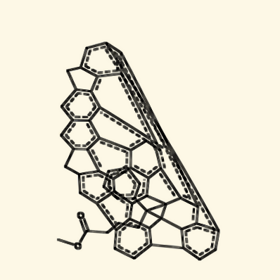 COC(=O)CCCC1(c2ccccc2)C23c4c5ccc6c7cc8c9c%10c(cc%11cc%12c%13c%14c(cc%15c%16ccc-5c2c%16c2c5c%16c%17c(c(c46)c7c9c%17c4c%10c%11c%13c4c%16c%14c%152)C513)C%12)C8